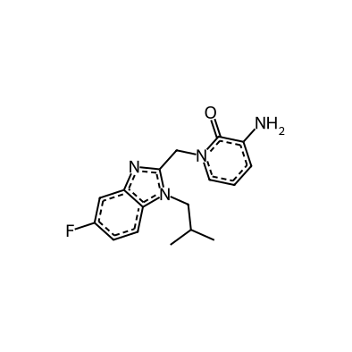 CC(C)Cn1c(Cn2cccc(N)c2=O)nc2cc(F)ccc21